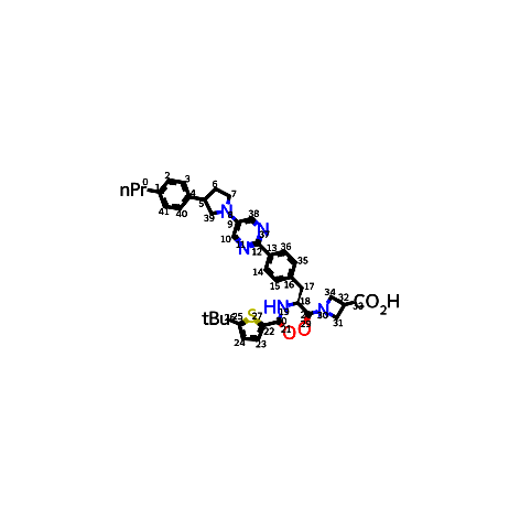 CCCc1ccc(C2CCN(c3cnc(-c4ccc(C[C@H](NC(=O)c5ccc(C(C)(C)C)s5)C(=O)N5CC(C(=O)O)C5)cc4)nc3)C2)cc1